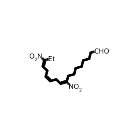 CC/C(=C\C/C=C\C/C=C(\CCCCCCC[C]=O)[N+](=O)[O-])[N+](=O)[O-]